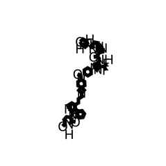 O=C1CCC(n2c3ccccc3c3c(CCCN4CC5(CCN(C(=O)[C@H]6CC[C@H](n7cc(NC(=O)c8cnn9ccc(N%10C[C@H]%11C[C@@H]%10CO%11)nc89)c(C(F)F)n7)CC6)CC5)C4)ccnc32)C(=O)N1